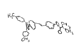 C=C(C)C(=O)Oc1ccc(/C=C/c2ccc(N(c3ccc(C)cc3)c3ccc(C)cc3)cc2)cc1